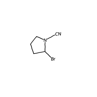 N#CN1CCCC1Br